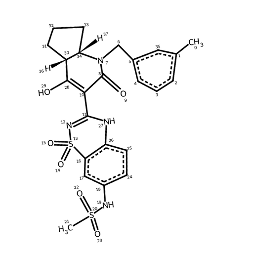 Cc1cccc(CN2C(=O)C(C3=NS(=O)(=O)c4cc(NS(C)(=O)=O)ccc4N3)=C(O)[C@@H]3CCC[C@@H]32)c1